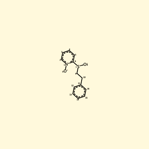 [O-][n+]1ccccc1[S+]([O-])CCc1ccccc1